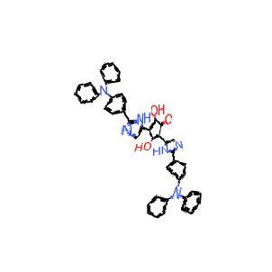 O=C1C(O)=C(c2cnc(-c3ccc(N(c4ccccc4)c4ccccc4)cc3)[nH]2)C(O)=C1c1cnc(-c2ccc(N(c3ccccc3)c3ccccc3)cc2)[nH]1